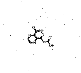 O=C(O)Cc1n[nH]c(=O)c2nncnc12